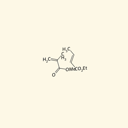 C=C(C)C(=O)OC.CC=CC(=O)OCC